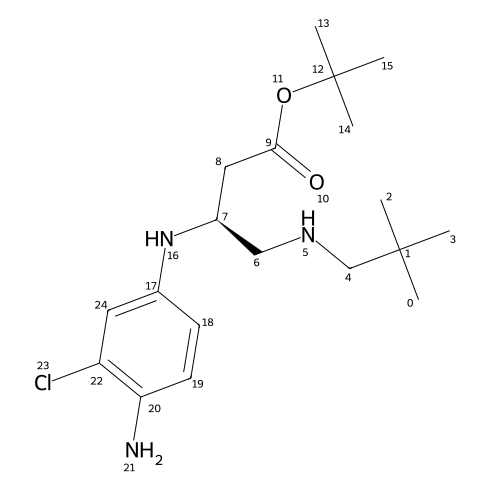 CC(C)(C)CNC[C@H](CC(=O)OC(C)(C)C)Nc1ccc(N)c(Cl)c1